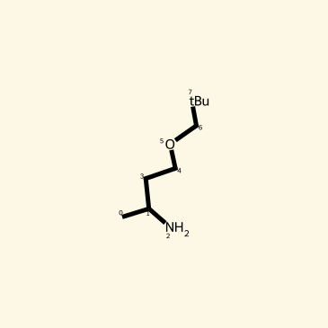 CC(N)CCOCC(C)(C)C